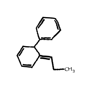 CCC=C1C=CC=CC1c1ccccc1